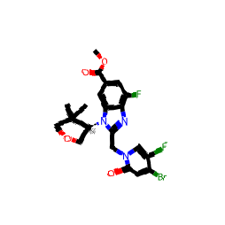 COC(=O)c1cc(F)c2nc(Cn3cc(F)c(Br)cc3=O)n([C@@H]3COCC3(C)C)c2c1